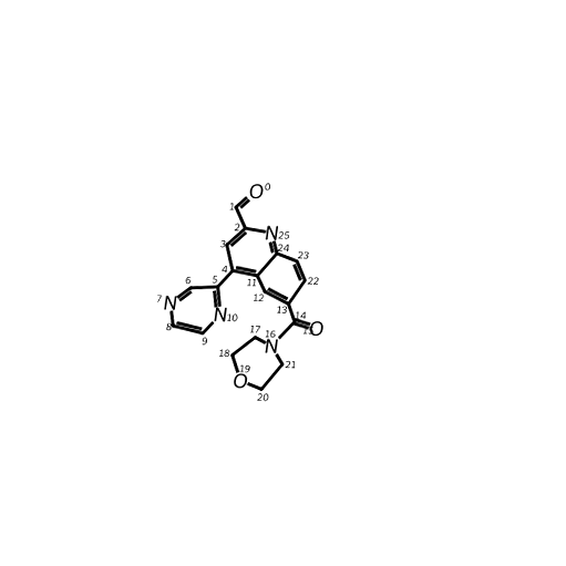 O=Cc1cc(-c2cnccn2)c2cc(C(=O)N3CCOCC3)ccc2n1